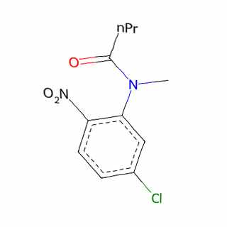 CCCC(=O)N(C)c1cc(Cl)ccc1[N+](=O)[O-]